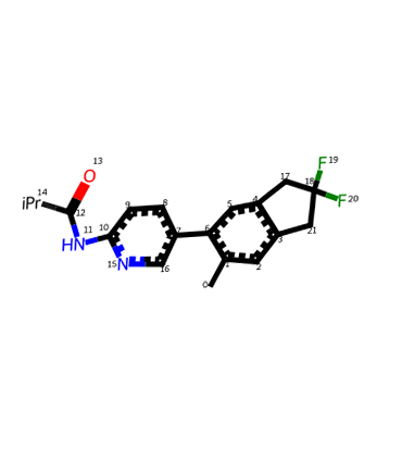 Cc1cc2c(cc1-c1ccc(NC(=O)C(C)C)nc1)CC(F)(F)C2